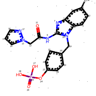 N#Cc1ccc2c(c1)nc(NC(=O)Cn1cccn1)n2Cc1ccc(OP(=O)(O)O)cc1